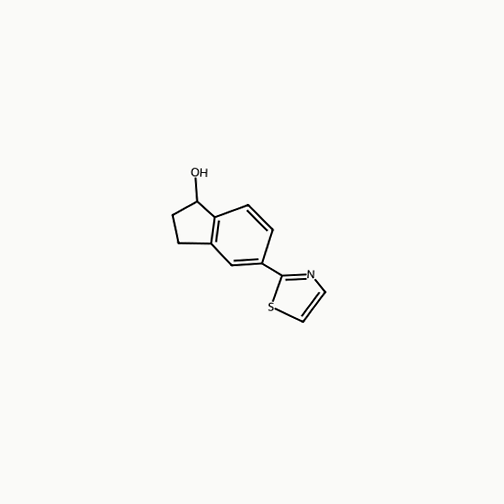 OC1CCc2cc(-c3nccs3)ccc21